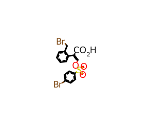 O=C(O)C(=COS(=O)(=O)c1ccc(Br)cc1)c1ccccc1CBr